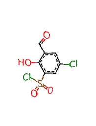 O=Cc1cc(Cl)cc(S(=O)(=O)Cl)c1O